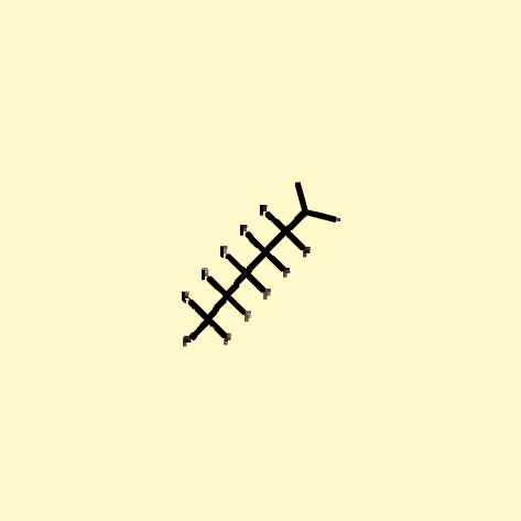 [CH2]C(C)C(F)(F)C(F)(F)C(F)(F)C(F)(F)C(F)(F)F